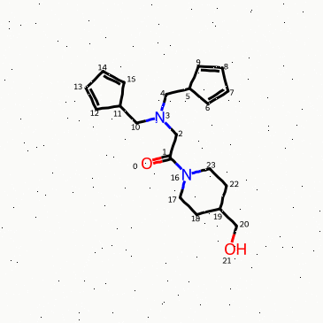 O=C(CN(CC1C=CC=C1)CC1C=CC=C1)N1CCC(CO)CC1